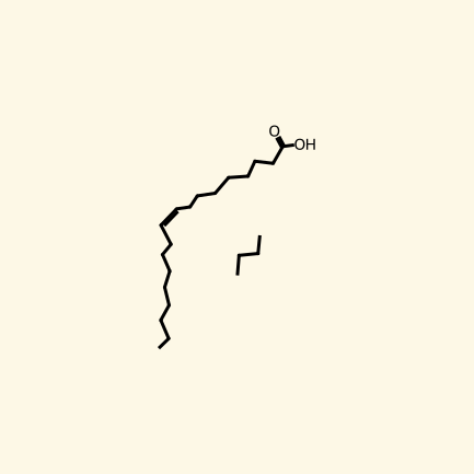 CCCC.CCCCCCCC/C=C\CCCCCCCC(=O)O